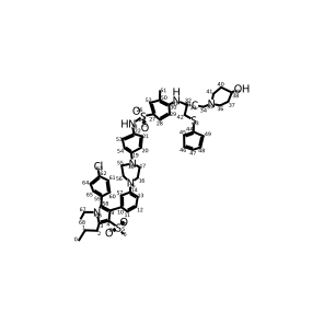 CCCc1c(S(C)(=O)=O)c(-c2cccc(N3CCN(c4ccc(NS(=O)(=O)c5ccc(N[C@H](CCN6CCC(O)CC6)CSc6ccccc6)c(C)c5)cc4)CC3)c2)c(-c2ccc(Cl)cc2)n1CC